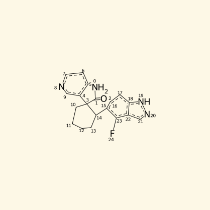 NC(=O)C1(c2cccnc2)CCCCC1c1ccc2[nH]ncc2c1F